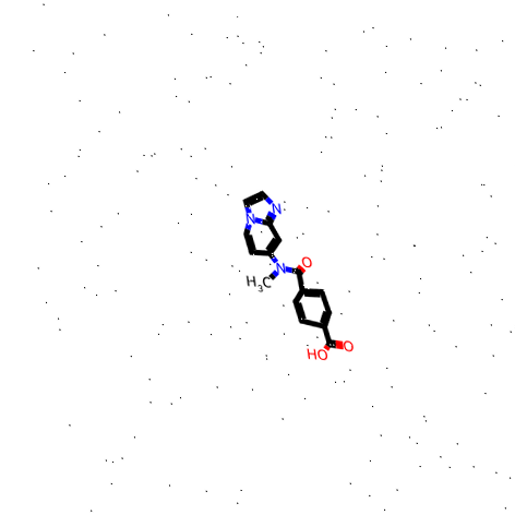 CN(C(=O)c1ccc(C(=O)O)cc1)c1ccn2ccnc2c1